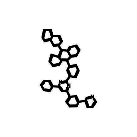 c1ccc(-c2cc(-c3cccc(-c4cccnc4)c3)nc(-c3cccc(-c4c5ccccc5c(-c5ccc6ccccc6c5)c5ccccc45)c3)n2)cc1